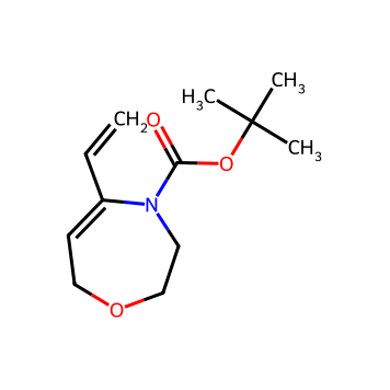 C=CC1=CCOCCN1C(=O)OC(C)(C)C